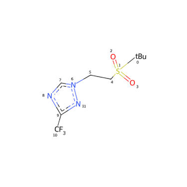 CC(C)(C)S(=O)(=O)CCn1cnc(C(F)(F)F)n1